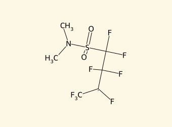 CN(C)S(=O)(=O)C(F)(F)C(F)(F)[C](F)C(F)(F)F